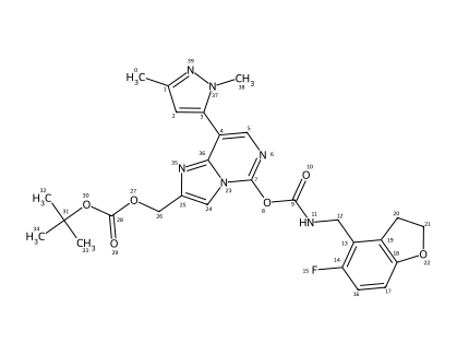 Cc1cc(-c2cnc(OC(=O)NCc3c(F)ccc4c3CCO4)n3cc(COC(=O)OC(C)(C)C)nc23)n(C)n1